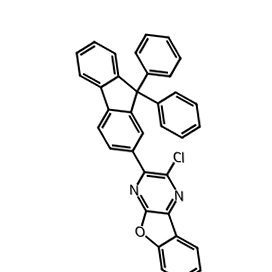 Clc1nc2c(nc1-c1ccc3c(c1)C(c1ccccc1)(c1ccccc1)c1ccccc1-3)oc1ccccc12